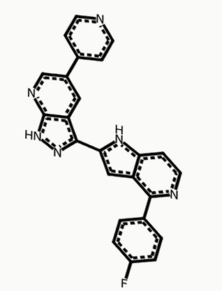 Fc1ccc(-c2nccc3[nH]c(-c4n[nH]c5ncc(-c6ccncc6)cc45)cc23)cc1